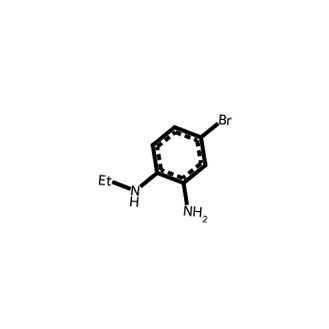 CCNc1ccc(Br)cc1N